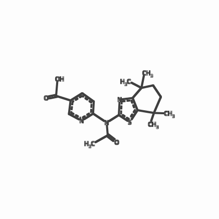 CC(=O)N(c1ccc(C(=O)O)cn1)c1nc2c(s1)C(C)(C)CCC2(C)C